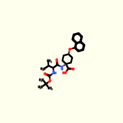 CC(C)[C@H](NC(=O)OC(C)(C)C)C(=O)N[C@]1(C(=O)O)CC[C@H](Oc2cccc3ccccc23)CC1